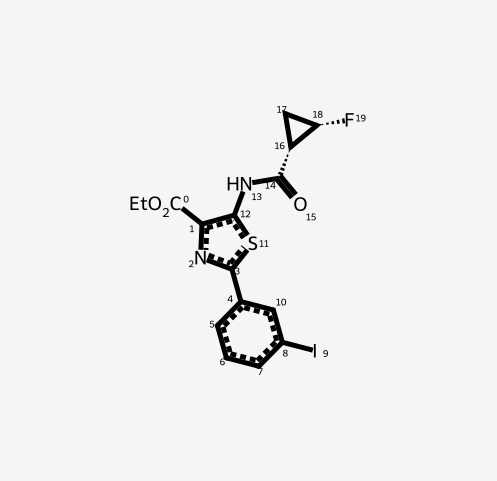 CCOC(=O)c1nc(-c2cccc(I)c2)sc1NC(=O)[C@@H]1C[C@@H]1F